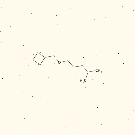 CC(C)CC[CH]OCC1CCC1